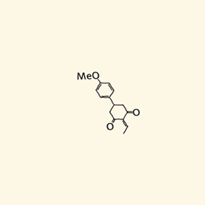 CC=C1C(=O)CC(c2ccc(OC)cc2)CC1=O